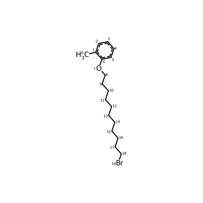 Cc1ccccc1OCCCCCCCCCCCBr